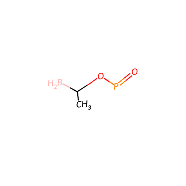 BC(C)OP=O